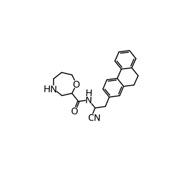 N#CC(Cc1ccc2c(c1)CCc1ccccc1-2)NC(=O)C1CNCCCO1